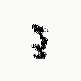 Cc1n[nH]c(Nc2ncnc3cc(OCCCN4CCN(C(=O)c5cnc(N6CCN(C[C@H]7CN(C(=O)OC(C)(C)C)[C@H](C)CN7CC(=O)N7CC(C)(C)c8ncc(Cc9ccc(F)cc9)cc87)[C@H](C)C6)cn5)CC4)c(S(=O)(=O)C(C)(C)C)cc23)c1C